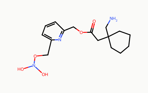 NCC1(CC(=O)OCc2cccc(CON(O)O)n2)CCCCC1